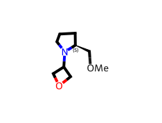 COC[C@@H]1CCCN1C1COC1